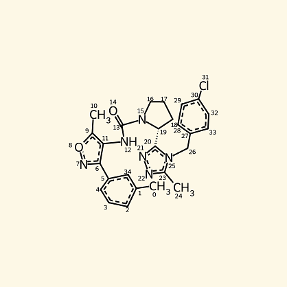 Cc1cccc(-c2noc(C)c2NC(=O)N2CCC[C@@H]2c2nnc(C)n2Cc2ccc(Cl)cc2)c1